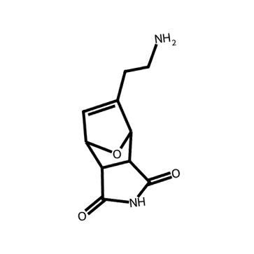 NCCC1=CC2OC1C1C(=O)NC(=O)C21